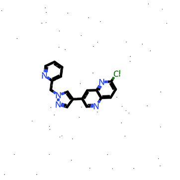 Clc1ccc2ncc(-c3cnn(Cc4ccccn4)c3)cc2n1